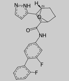 O=C(Nc1ccc(-c2ccccc2F)c(F)c1)C1=C(c2ccn[nH]2)[C@@H]2CCC1O2